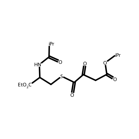 CCOC(=O)C(CSC(=O)C(=O)CC(=O)OC(C)C)NC(=O)C(C)C